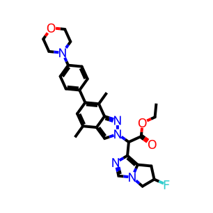 CCOC(=O)C(c1ncn2c1CC(F)C2)n1cc2c(C)cc(-c3ccc(N4CCOCC4)cc3)c(C)c2n1